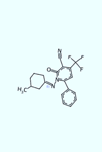 CC1CCC/C(=N\n2c(-c3ccccc3)cc(C(F)(F)F)c(C#N)c2=O)C1